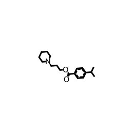 CC(C)c1ccc(C(=O)OCCCN2CCCCC2)cc1